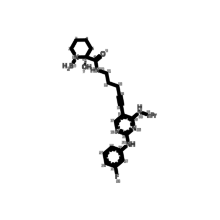 BN1CCCC[C@@]1(O)C(=O)NCCCC#Cc1cnc(Nc2cccc(F)c2)nc1NCCC